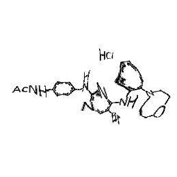 CC(=O)Nc1ccc(Nc2ncc(Br)c(Nc3ccccc3N3CCOCC3)n2)cc1.Cl